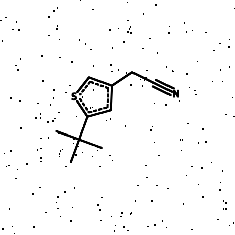 CC(C)(C)c1cc(CC#N)cs1